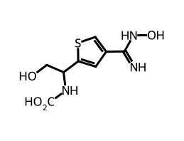 N=C(NO)c1csc(C(CO)NC(=O)O)c1